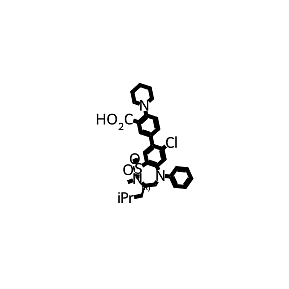 CC(C)C[C@@H]1CN(c2ccccc2)c2cc(Cl)c(-c3ccc(N4CCCCC4)c(C(=O)O)c3)cc2S(=O)(=O)N1C